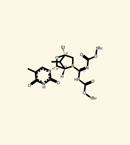 CC[C@]12CN(/C(=N\C(=O)OC(C)(C)C)NC(=O)OC(C)(C)C)[C@@H](C1C)[C@H](n1cc(C)c(=O)[nH]c1=O)O2